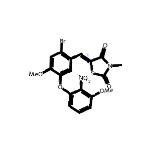 COc1cc(Br)c(/C=C2\SC(=O)N(C)C2=O)cc1Oc1cccc(OC)c1[N+](=O)[O-]